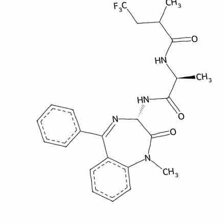 CC(CC(F)(F)F)C(=O)N[C@@H](C)C(=O)N[C@H]1N=C(c2ccccc2)c2ccccc2N(C)C1=O